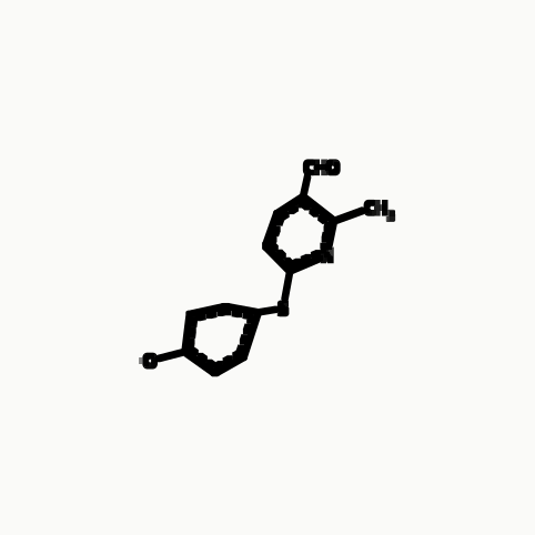 Cc1nc(Sc2ccc([O])cc2)ccc1C=O